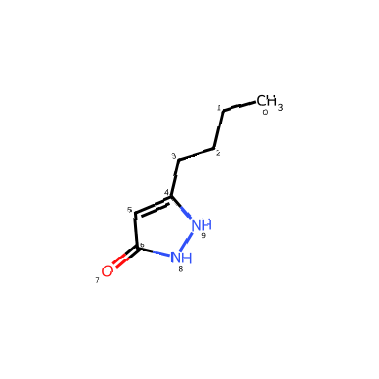 CCCCc1cc(=O)[nH][nH]1